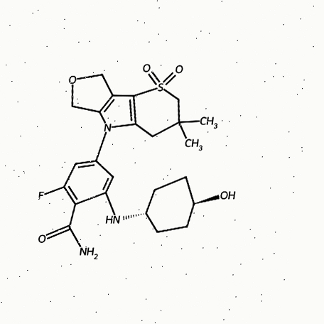 CC1(C)Cc2c(c3c(n2-c2cc(F)c(C(N)=O)c(N[C@H]4CC[C@H](O)CC4)c2)COC3)S(=O)(=O)C1